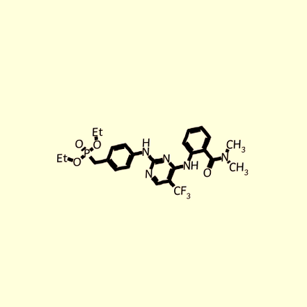 CCOP(=O)(Cc1ccc(Nc2ncc(C(F)(F)F)c(Nc3ccccc3C(=O)N(C)C)n2)cc1)OCC